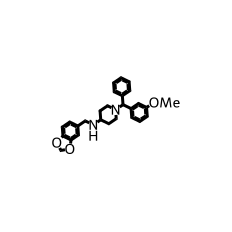 COc1cccc(C(c2ccccc2)N2CCC(NCc3ccc4c(c3)OCO4)CC2)c1